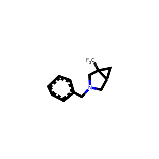 FC(F)(F)C12CC1CN(Cc1ccccc1)C2